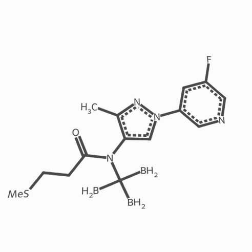 BC(B)(B)N(C(=O)CCSC)c1cn(-c2cncc(F)c2)nc1C